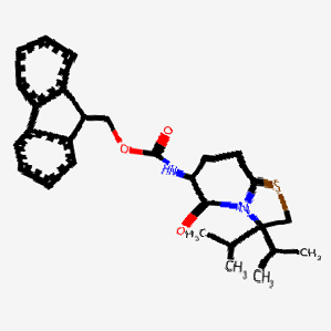 CC(C)C1(C(C)C)CSC2CCC(NC(=O)OCC3c4ccccc4-c4ccccc43)C(=O)N21